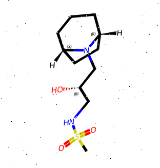 CS(=O)(=O)NC[C@H](O)CN1[C@@H]2C[CH]C[C@H]1CC2